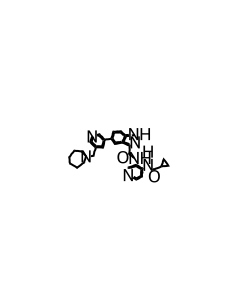 O=C(Nc1cnccc1NC(=O)C1CC1)c1n[nH]c2ccc(-c3cncc(CN4CCCCCC4)c3)cc12